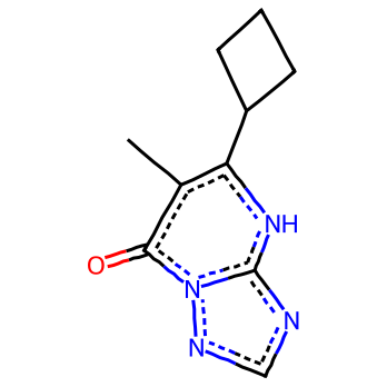 Cc1c(C2CCC2)[nH]c2ncnn2c1=O